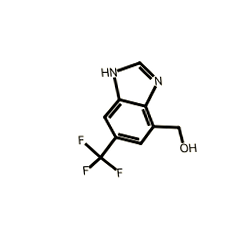 OCc1cc(C(F)(F)F)cc2[nH]cnc12